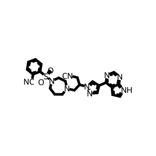 [C-]#[N+]CC(CN1CCCN(S(=O)(=O)c2ccccc2[N+]#[C-])CC1)n1cc(-c2ncnc3[nH]ccc23)cn1